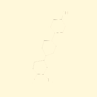 CC1CCC(C2CCC(C3CCC(C)C(F)C3)CC2)CC1